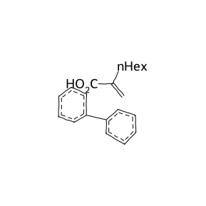 C=C(CCCCCC)C(=O)O.c1ccc(-c2ccccc2)cc1